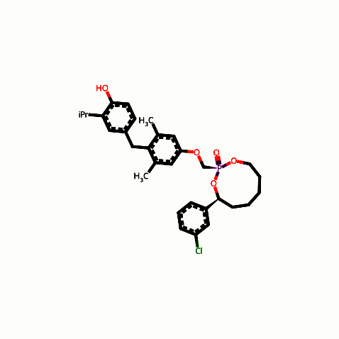 Cc1cc(OC[P@@]2(=O)OCCCCC[C@@H](c3cccc(Cl)c3)O2)cc(C)c1Cc1ccc(O)c(C(C)C)c1